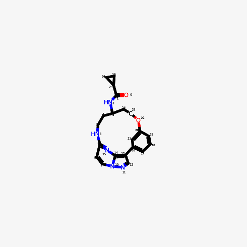 O=C(NC1CCNc2ccn3ncc(c3n2)-c2cccc(c2)OCC1)C1CC1